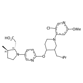 COc1cc(N2CCC(Oc3ccc(N4CC[C@@H](C)[C@@H]4CC(=O)O)cn3)C(CC(C)C)C2)c(Cl)cn1